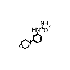 NC(=O)Nc1cccc(N2CCOCC2)c1